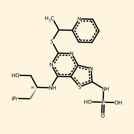 CC(C)C[C@H](CO)Nc1nc(SC(C)c2ccccn2)nc2nc(NP(=O)(O)O)sc12